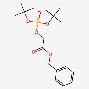 CC(C)(C)OP(=O)(OCC(=O)OCc1ccccc1)OC(C)(C)C